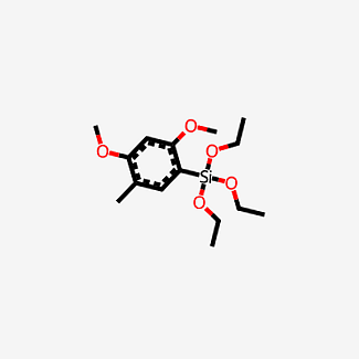 CCO[Si](OCC)(OCC)c1cc(C)c(OC)cc1OC